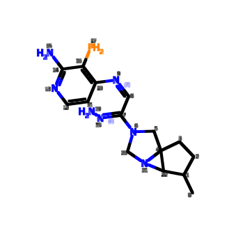 CC1CCC23CN(C(/C=N\c4ccnc(N)c4P)=N/N)CN2C13